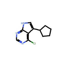 Clc1ncnc2[nH]cc(C3CCCC3)c12